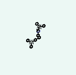 C/C=C(\C=C/C1(c2nc(C3=CCCC=C3)nc(-c3ccccc3)n2)C=C1)c1ccc2c(-c3ccc(-c4nc(-c5ccccc5)nc(-c5ccccc5)n4)cc3)cccc2c1